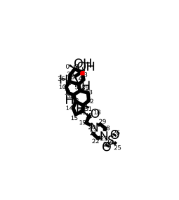 C[C@@]1(O)CC[C@@]2(CCO)[C@@H](CC[C@H]3[C@@H]4CC[C@H](C(=O)CN5CCN(S(C)(=O)=O)CC5)[C@@]4(C)CC[C@@H]32)C1